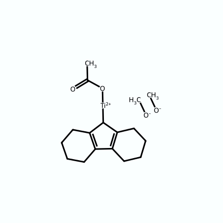 CC(=O)[O][Ti+2][CH]1C2=C(CCCC2)C2=C1CCCC2.C[O-].C[O-]